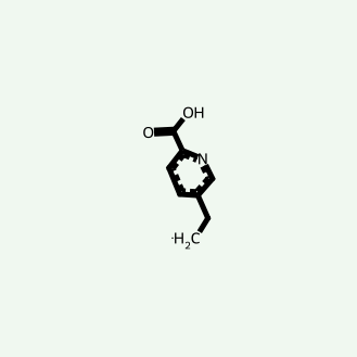 [CH2]Cc1ccc(C(=O)O)nc1